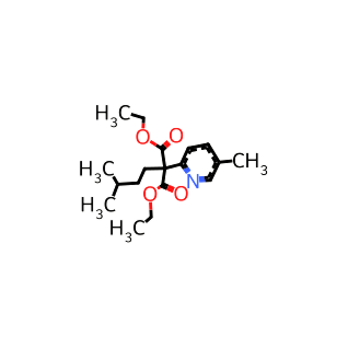 CCOC(=O)C(CCC(C)C)(C(=O)OCC)c1ccc(C)cn1